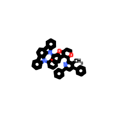 Cc1c(-c2ccccc2)cc(-c2ccccc2)nc1C1OC=Cc2oc3c(-n4c5ccccc5c5ccc6c7ccccc7n(C7C=CCCC7)c6c54)cccc3c21